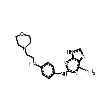 Nc1nc(Nc2ccc(NCCN3CCOCC3)cc2)nc2[nH]cnc12